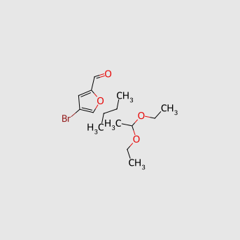 CCCC.CCOC(C)OCC.O=Cc1cc(Br)co1